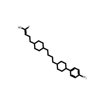 N#CC(F)=CCCC1CCC(CCCCC2CCC(c3ccc(C(F)(F)F)cc3)CC2)CC1